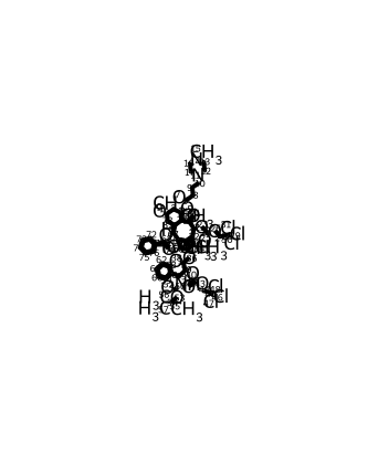 CO[C@@H]1C[C@H](OC(=O)CCCN2CCN(C)CC2)[C@@]2(C)C(=O)[C@H](OC(=O)OCC(Cl)(Cl)Cl)C3=C(C)[C@@H](OC(=O)[C@H](OC(=O)OCC(Cl)(Cl)Cl)[C@@H](NC(=O)OC(C)(C)C)c4ccccc4)C[C@@](O)([C@@H](OC(=O)c4ccccc4)[C@@H]2C1)C3(C)C